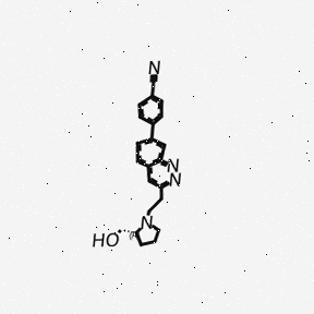 N#Cc1ccc(-c2ccc3cc(CCN4CCC[C@@H]4CO)nnc3c2)cc1